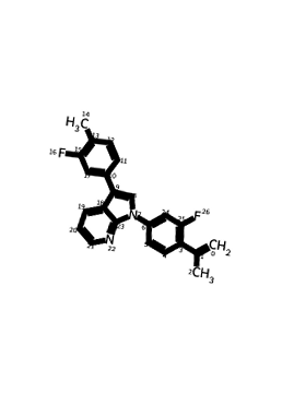 C=C(C)c1ccc(-n2cc(-c3ccc(C)c(F)c3)c3cccnc32)cc1F